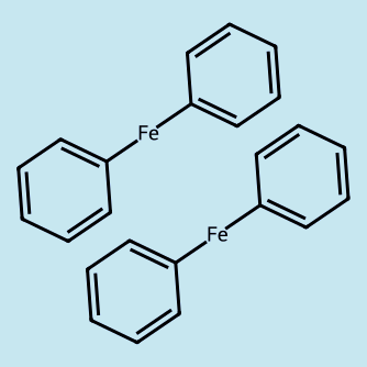 c1cc[c]([Fe][c]2ccccc2)cc1.c1cc[c]([Fe][c]2ccccc2)cc1